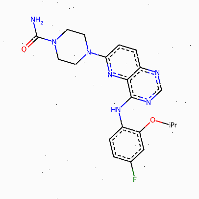 CC(C)Oc1cc(F)ccc1Nc1ncnc2ccc(N3CCN(C(N)=O)CC3)nc12